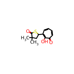 CC1(C)CC(c2ccccc(=O)c2O)SC1=O